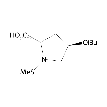 CSN1C[C@H](OCC(C)C)C[C@H]1C(=O)O